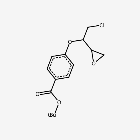 CC(C)(C)OC(=O)c1ccc(OC(CCl)C2CO2)cc1